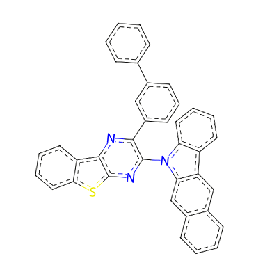 c1ccc(-c2cccc(-c3nc4c(nc3-n3c5ccccc5c5cc6ccccc6cc53)sc3ccccc34)c2)cc1